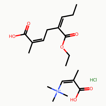 CC(=C[N+](C)(C)C)C(=O)O.CCC=C(CC=C(C)C(=O)O)C(=O)OCC.Cl